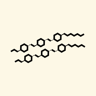 CCCCCCC[C@H]1CC[C@H](CC[C@H]2CC[C@H](CC[C@H]3CC[C@H](CCC)CC3)CC2)CC1.CCCCCC[C@H]1CC[C@H](CC[C@H]2CC[C@H](CC[C@H]3CC[C@H](CCC)CC3)CC2)CC1